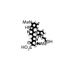 CNc1cc(F)c(F)c2c1[nH]c1ncc(-c3cnc4c(c3)c(=O)c(C(=O)O)cn4NC)c(N3CC4CCN(CCCO)[C@H]4C3)c12